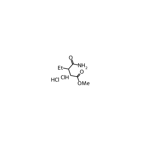 CCC(CC(=O)OC)C(N)=O.Cl.Cl